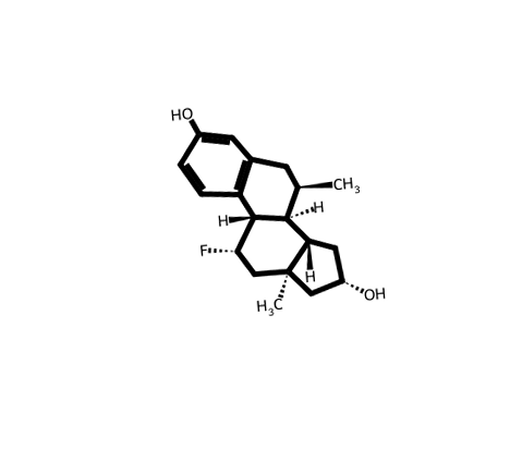 C[C@@H]1Cc2cc(O)ccc2[C@@H]2[C@@H]1[C@@H]1C[C@H](O)C[C@@]1(C)C[C@@H]2F